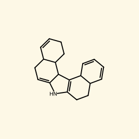 C1=CC2CCC3=C(C2C=C1)C1C(=CCC2C=CCCC21)N3